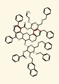 C=CCO[C@@H]1OC(COCc2ccccc2)[C@H](OCc2ccccc2)C(OC2OC(COC(=O)c3ccccc3)C(OC(=O)c3ccccc3)C(O[C@@H]3OC(COCc4ccccc4)[C@H](OCc4ccccc4)C(OCc4ccc5ccccc5c4)C3OC(=O)c3ccccc3)C2OCc2ccccc2)C1OC(=O)c1ccccc1